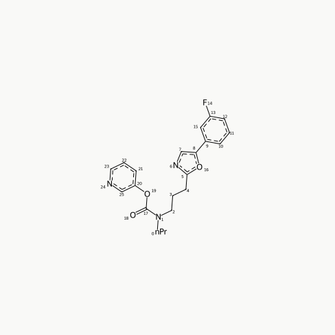 CCCN(CCCc1ncc(-c2cccc(F)c2)o1)C(=O)Oc1cccnc1